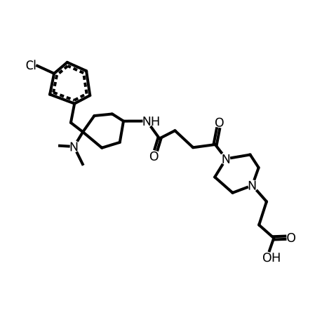 CN(C)C1(Cc2cccc(Cl)c2)CCC(NC(=O)CCC(=O)N2CCN(CCC(=O)O)CC2)CC1